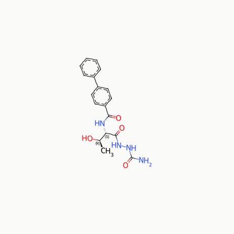 C[C@@H](O)[C@H](NC(=O)c1ccc(-c2ccccc2)cc1)C(=O)NNC(N)=O